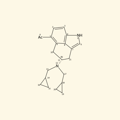 CC(=O)c1ccc2[nH]cc3c2c1C[C@@H](N(CC1CC1)CC1CC1)C3